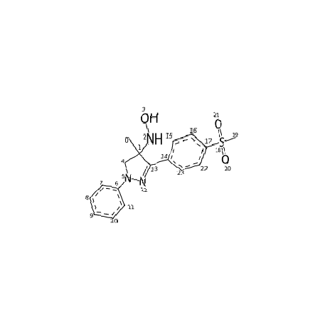 CC1(NO)CN(c2ccccc2)N=C1c1ccc(S(C)(=O)=O)cc1